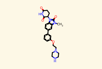 Cn1c(=O)n(C2CCC(=O)NC2=O)c2ccc(-c3cccc(OCCN4CCNCC4)c3)cc21